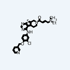 CCN(C)C/C=C/C(=O)N1CCc2c(sc3ncnc(Nc4ccc(OCc5cccnc5)c(Cl)c4)c23)C1